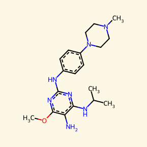 COc1nc(Nc2ccc(N3CCN(C)CC3)cc2)nc(NC(C)C)c1N